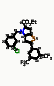 CCOC(=O)c1cc2sc(-c3cc(C(F)(F)F)cc(C(F)(F)F)c3)cc2n1Cc1cccc(Cl)c1